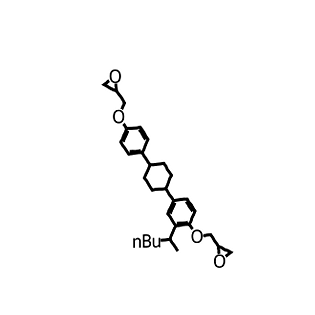 CCCCC(C)c1cc(C2CCC(c3ccc(OCC4CO4)cc3)CC2)ccc1OCC1CO1